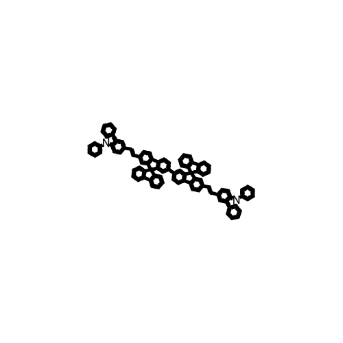 C(=C\c1ccc2c(c1)c1ccccc1n2-c1ccccc1)/c1ccc2c(c1)C1(c3ccccc3-c3ccccc31)c1cc(-c3ccc4c(c3)C3(c5ccccc5-c5ccccc53)c3cc(/C=C/c5ccc6c(c5)c5ccccc5n6-c5ccccc5)ccc3-4)ccc1-2